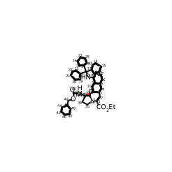 CCOC(=O)C(=Cc1cc2ccnc(NC(c3ccccc3)(c3ccccc3)c3ccccc3)c2cc1OC)N1CCC(NC(=O)OCc2ccccc2)C1=O